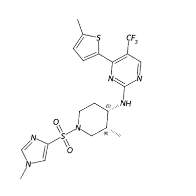 Cc1ccc(-c2nc(N[C@H]3CCN(S(=O)(=O)c4cn(C)cn4)C[C@H]3C)ncc2C(F)(F)F)s1